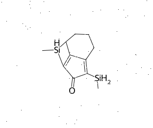 C[SiH2]C1=C2CCCC3C2=C(C1=O)[SiH]3C